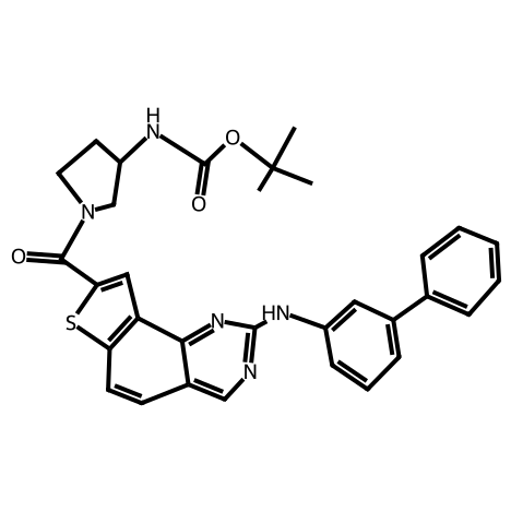 CC(C)(C)OC(=O)NC1CCN(C(=O)c2cc3c(ccc4cnc(Nc5cccc(-c6ccccc6)c5)nc43)s2)C1